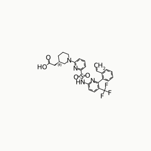 C=Cc1ccccc1-c1nc(NS(=O)(=O)c2cccc(N3CCC[C@H](CC(=O)O)C3)n2)ccc1C(F)(F)F